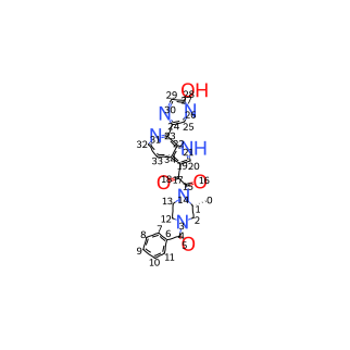 C[C@@H]1CN(C(=O)c2ccccc2)CCN1C(=O)C(=O)c1c[nH]c2c(-c3cnc(O)cn3)nccc12